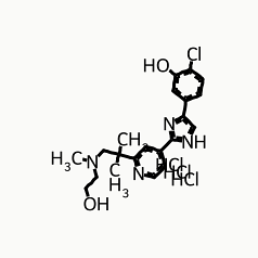 CN(CCO)CC(C)(C)c1cc(-c2nc(-c3ccc(Cl)c(O)c3)c[nH]2)ccn1.Cl.Cl.Cl